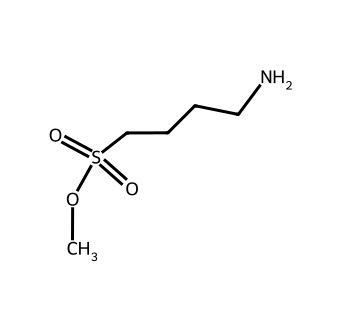 COS(=O)(=O)CCCCN